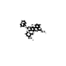 C[C@H]1CN2CCCC2(COc2nc3c4c(c(Cl)c(-c5ccc(F)c6sc(N)c(C#N)c56)c(F)c4n2)OCC2CC(N)CCCN32)C1